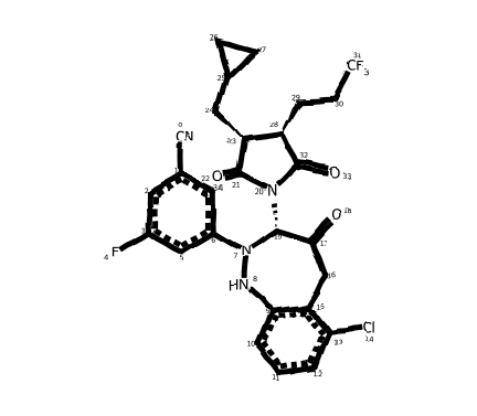 N#Cc1cc(F)cc(N2Nc3cccc(Cl)c3CC(=O)[C@H]2N2C(=O)[C@@H](CC3CC3)[C@@H](CCC(F)(F)F)C2=O)c1